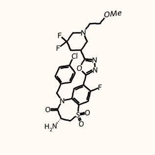 COCCN1CC(c2nnc(-c3cc4c(cc3F)S(=O)(=O)C[C@H](N)C(=O)N4Cc3ccc(Cl)cc3)o2)CC(F)(F)C1